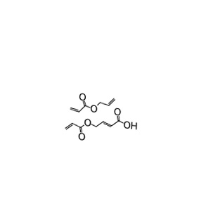 C=CC(=O)OCC=CC(=O)O.C=CCOC(=O)C=C